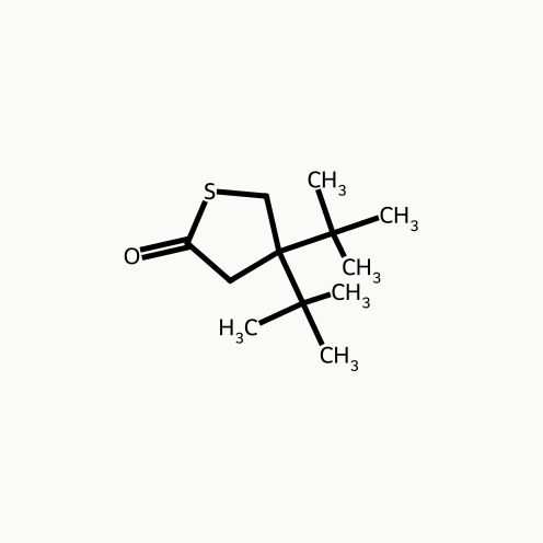 CC(C)(C)C1(C(C)(C)C)CSC(=O)C1